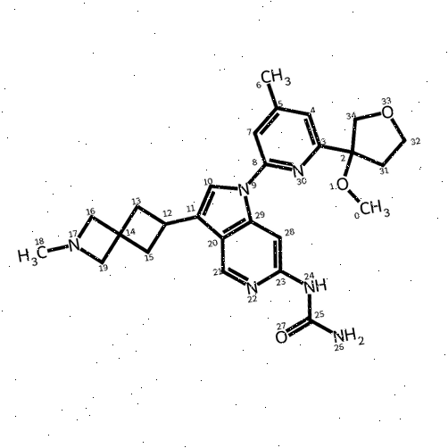 COC1(c2cc(C)cc(-n3cc(C4CC5(C4)CN(C)C5)c4cnc(NC(N)=O)cc43)n2)CCOC1